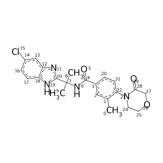 Cc1cc(C(=O)NC(C)(C)c2nc3cc(Cl)ccc3[nH]2)ccc1N1CCOCC1=O